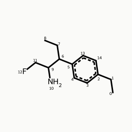 CCc1ccc(C(CC)C(N)CF)cc1